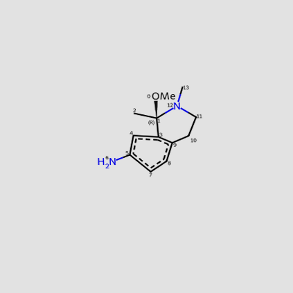 CO[C@]1(C)c2cc(N)ccc2CCN1C